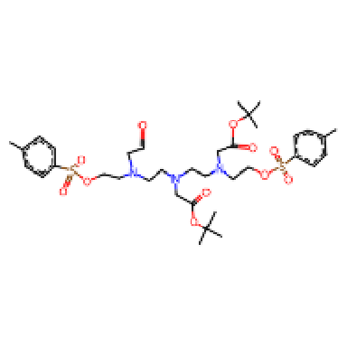 Cc1ccc(S(=O)(=O)OCCN(CC=O)CCN(CCN(CCOS(=O)(=O)c2ccc(C)cc2)CC(=O)OC(C)(C)C)CC(=O)OC(C)(C)C)cc1